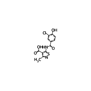 Cc1nsc(NC(=O)c2ccc(O)c(Cl)c2)c1C(=O)O